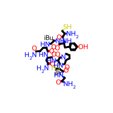 CCC(C)C(NC(=O)C(Cc1ccc(O)cc1)NC(=O)C(N)CS)C(=O)NC(CCC(N)=O)C(=O)NC(CC(N)=O)C(=O)NC(CS)C(=O)N1CCCC1C(=O)NC(CC(C)C)C(=O)NCC(N)=O